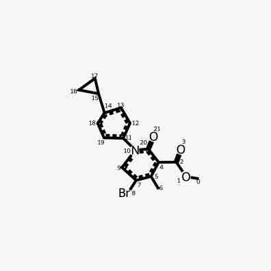 COC(=O)c1c(C)c(Br)cn(-c2ccc(C3CC3)cc2)c1=O